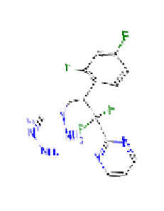 N/N=C\N(N)CC(c1ccc(F)cc1F)C(F)(F)c1ncccn1